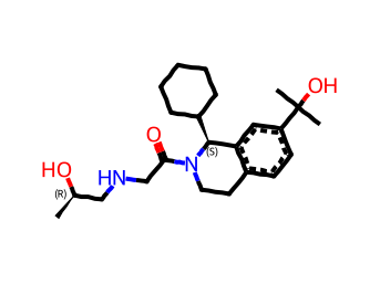 C[C@@H](O)CNCC(=O)N1CCc2ccc(C(C)(C)O)cc2[C@@H]1C1CCCCC1